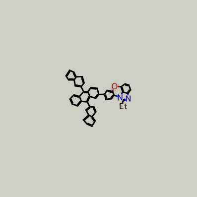 CCc1nc2cccc3c2n1-c1ccc(-c2ccc4c(-c5ccc6ccccc6c5)c5ccccc5c(-c5ccc6ccccc6c5)c4c2)cc1O3